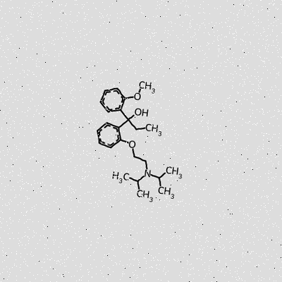 CCC(O)(c1ccccc1OC)c1ccccc1OCCN(C(C)C)C(C)C